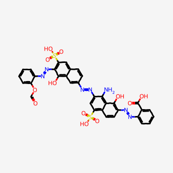 Nc1c(N=Nc2ccc3cc(S(=O)(=O)O)c(N=Nc4ccccc4OC=O)c(O)c3c2)cc(S(=O)(=O)O)c2ccc(N=Nc3ccccc3C(=O)O)c(O)c12